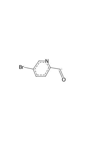 O=[C]c1ccc(Br)cn1